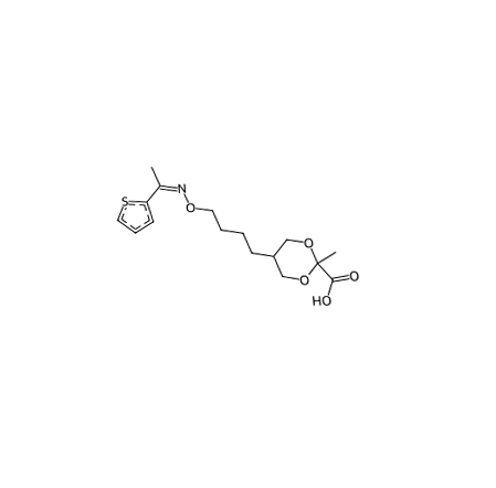 C/C(=N/OCCCCC1COC(C)(C(=O)O)OC1)c1cccs1